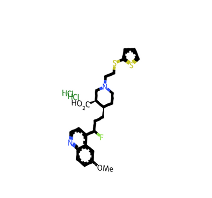 COc1ccc2nccc(C(F)CC[C@@H]3CCN(CCSc4cccs4)C[C@@H]3C(=O)O)c2c1.Cl.Cl